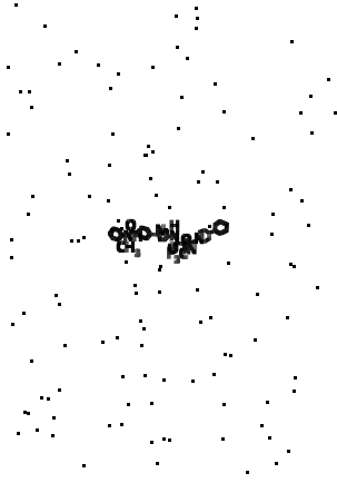 Cc1ccccc1NC(=O)c1ccc(-c2ccc(NC(=O)c3oc(N4CCC(c5ccccc5)CC4)nc3C(F)(F)F)cn2)cc1